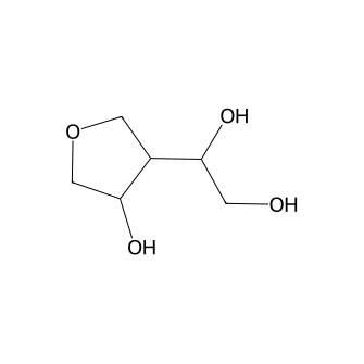 OCC(O)C1COCC1O